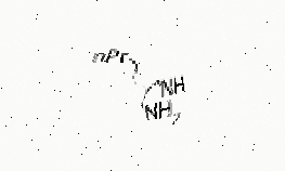 CCCCC[C@H](C=N)CN